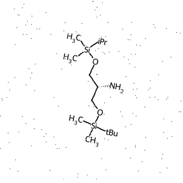 CC(C)[Si](C)(C)OC[C@H](N)CO[Si](C)(C)C(C)(C)C